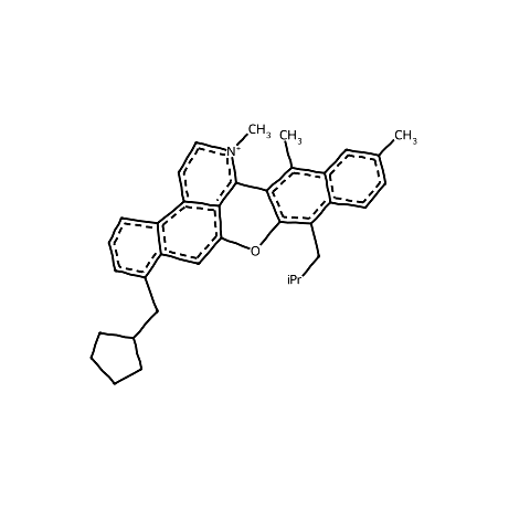 Cc1ccc2c(CC(C)C)c3c(c(C)c2c1)-c1c2c(cc4c(CC5CCCC5)cccc4c2cc[n+]1C)O3